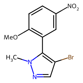 COc1ccc([N+](=O)[O-])cc1-c1c(Br)cnn1C